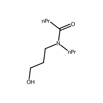 CCCC(=O)N(CCC)CCCO